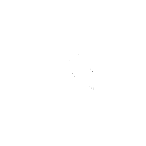 CC(C)(C)C1=NCCC2CCCCN12